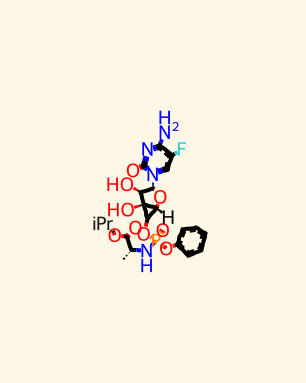 CC(C)OC(=O)[C@@H](C)NP(=O)(Oc1ccccc1)OC1[C@H]2O[C@@H](n3cc(F)c(N)nc3=O)[C@H](O)[C@@]12O